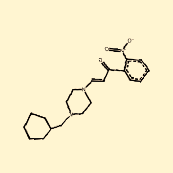 O=C(C=CN1CCN(CC2CCCCC2)CC1)c1ccccc1[N+](=O)[O-]